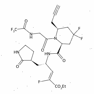 C#CC[C@H]1CC(F)(F)C[C@@H](C(=O)N[C@H](/C=C(\F)C(=O)OCC)C[C@@H]2CCNC2=O)N1C(=O)CNC(=O)C(F)(F)F